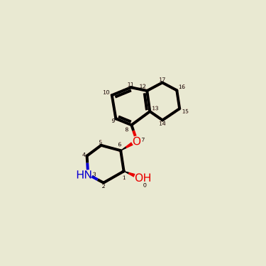 O[C@H]1CNCC[C@H]1Oc1cccc2c1CCCC2